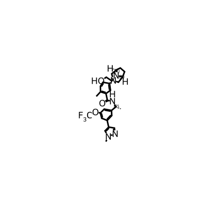 Cc1ccc(N2C[C@H]3CC[C@@H](C2)N3CCO)cc1C(=O)N[C@H](C)c1cc(OC(F)(F)F)cc(-c2cnn(C)c2)c1